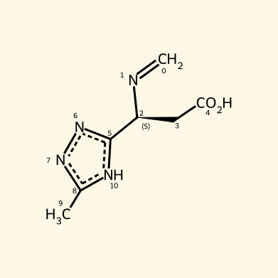 C=N[C@@H](CC(=O)O)c1nnc(C)[nH]1